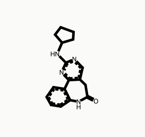 O=C1Cc2cnc(NC3CCCC3)nc2-c2ccccc2N1